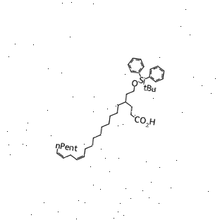 CCCCC/C=C\C/C=C\CCCCCCCCCC(CCO[Si](c1ccccc1)(c1ccccc1)C(C)(C)C)CCC(=O)O